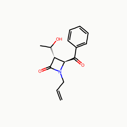 C=CCN1C(=O)[C@H](C(C)O)[C@H]1C(=O)c1ccccc1